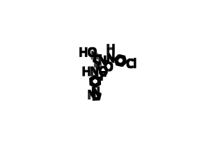 O=C(Nc1ccc(-n2cccn2)cc1F)[C@H]1C[C@@H](O)CN1C(=O)Nc1ccc(Cl)cc1